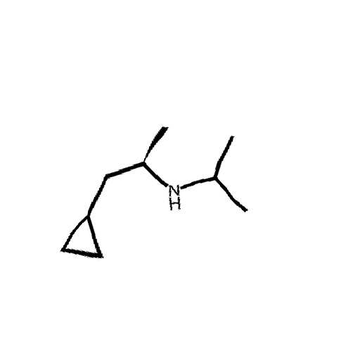 CC(C)N[C@H](C)CC1CC1